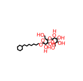 OCC1O[C@H](O[C@@H]2C(CO)O[C@@H](OCCCCCCCC3CCCCC3)C(O)[C@H]2O)C(O)[C@@H](O)[C@@H]1O